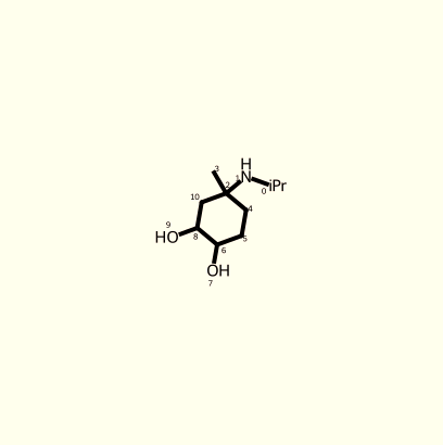 CC(C)NC1(C)CCC(O)C(O)C1